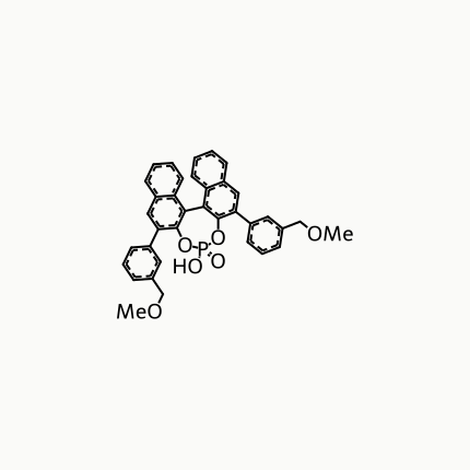 COCc1cccc(-c2cc3ccccc3c3c2OP(=O)(O)Oc2c(-c4cccc(COC)c4)cc4ccccc4c2-3)c1